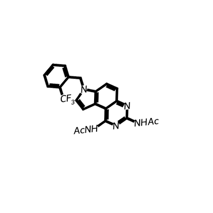 CC(=O)Nc1nc(NC(C)=O)c2c(ccc3c2ccn3Cc2ccccc2C(F)(F)F)n1